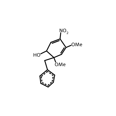 COC1=CC(Cc2ccccc2)(OC)C(O)C=C1[N+](=O)[O-]